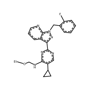 CCOCNc1nc(-c2nn(Cc3ccccc3F)c3ncccc23)ncc1C1CC1